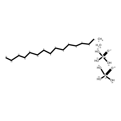 C.CCCCCCCCCCCCCCC.O.O=P(O)(O)O.O=P(O)(O)O